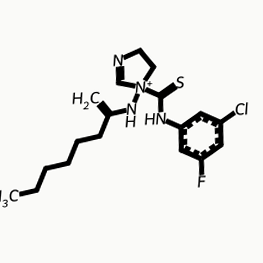 C=C(CCCCCC)N[N+]1(C(=S)Nc2cc(F)cc(Cl)c2)C=NCC1